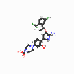 COc1cc(N2CCN(C(=O)O)CC2)ccc1-c1cnc(N)c(OC(C)c2cc(F)ccc2C(F)F)c1